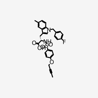 CC#CCOc1ccc(S(=O)(=O)N[C@@H](Cc2cn(Cc3ccc(F)cc3)c3ccc(C)cc23)C(=O)O)cc1